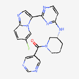 O=C(c1cncnc1)N1CCC[C@@H](Nc2ccnc(-c3cnc4ccc(F)cn34)n2)C1